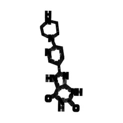 O=c1[nH]c(=O)c2[nH]c(-c3ccc(N4CCNCC4)nc3)nc2[nH]1